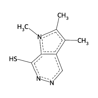 Cc1c(C)n(C)c2c(S)nncc12